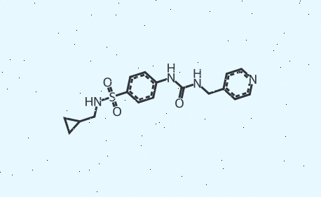 O=C(NCc1ccncc1)Nc1ccc(S(=O)(=O)NCC2CC2)cc1